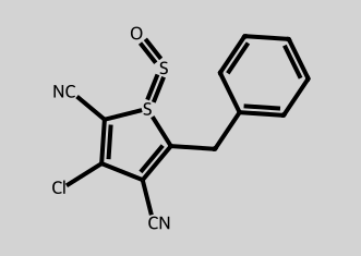 N#CC1=C(Cc2ccccc2)S(=S=O)C(C#N)=C1Cl